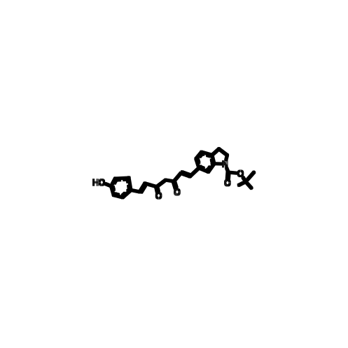 CC(C)(C)OC(=O)N1CCc2ccc(C=CC(=O)CC(=O)C=Cc3ccc(O)cc3)cc21